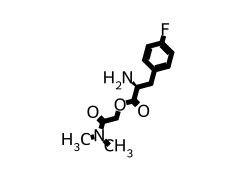 CN(C)C(=O)COC(=O)[C@@H](N)Cc1ccc(F)cc1